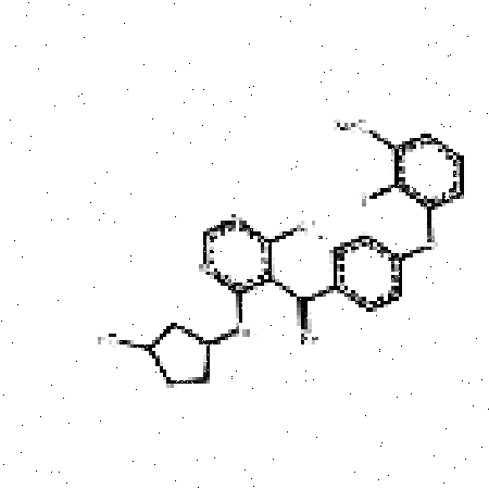 COc1cccc(Oc2ccc(C(=N)c3c(N)ncnc3NC3CCC(O)C3)cc2)c1F